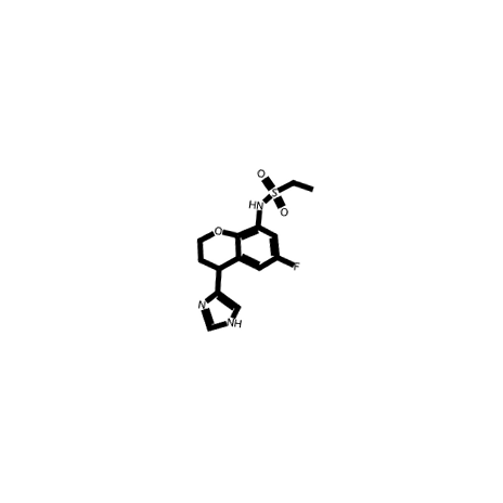 CCS(=O)(=O)Nc1cc(F)cc2c1OCCC2c1c[nH]cn1